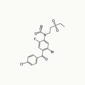 CCS(=O)(=O)CCN(c1cc(Br)c(C(=O)c2ccc(Cl)cc2)cc1F)[SH](=O)=O